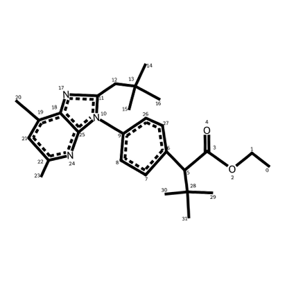 CCOC(=O)C(c1ccc(-n2c(CC(C)(C)C)nc3c(C)cc(C)nc32)cc1)C(C)(C)C